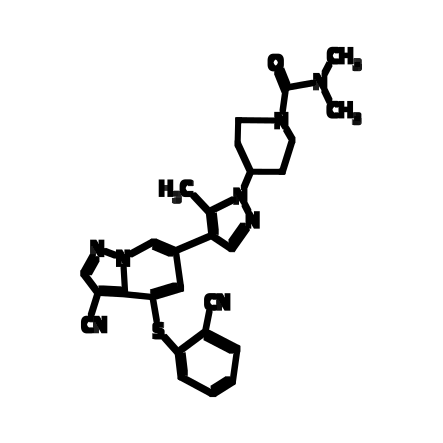 Cc1c(-c2cc(Sc3ccccc3C#N)c3c(C#N)cnn3c2)cnn1C1CCN(C(=O)N(C)C)CC1